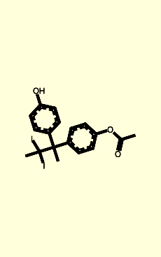 CC(=O)Oc1ccc(C(C)(c2ccc(O)cc2)C(C)(I)I)cc1